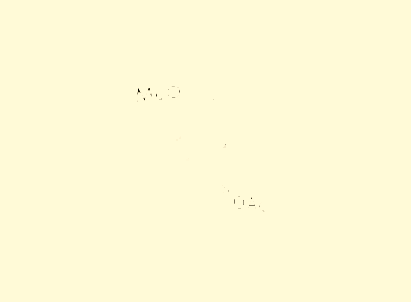 COc1ccc(CSOC(C)=O)cc1